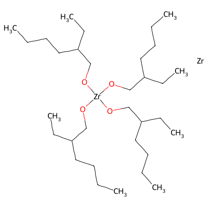 CCCCC(CC)C[O][Zr]([O]CC(CC)CCCC)([O]CC(CC)CCCC)[O]CC(CC)CCCC.[Zr]